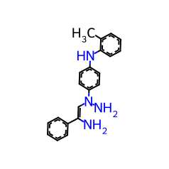 Cc1ccccc1Nc1ccc(N(N)/C=C(\N)c2ccccc2)cc1